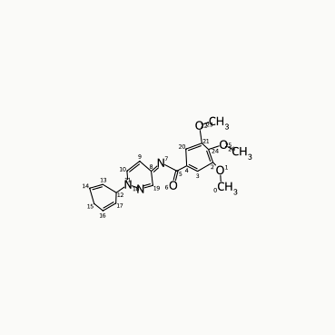 COc1cc(C(=O)N=c2ccn(C3C=CCC=C3)nc2)cc(OC)c1OC